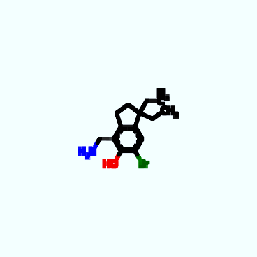 CCC1(CC)CCc2c1cc(Br)c(O)c2CN